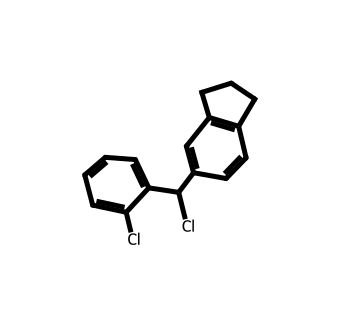 Clc1ccccc1C(Cl)c1ccc2c(c1)CCC2